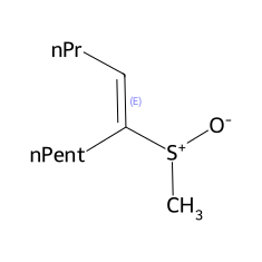 CCC/C=C(\CCCCC)[S+](C)[O-]